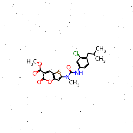 COC(=O)c1cc2sc(N(C)C(=O)Nc3ccc(CC(C)C)c(Cl)c3)cc2oc1=O